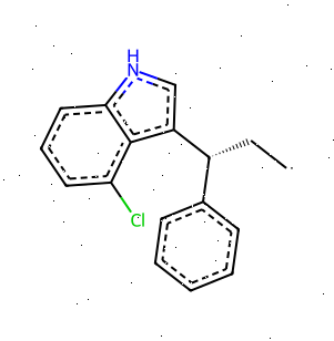 [CH2]C[C@H](c1ccccc1)c1c[nH]c2cccc(Cl)c12